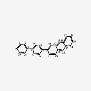 c1ccc(-c2ccc(-c3ccc4cc5ccccc5cc4c3)cc2)cc1